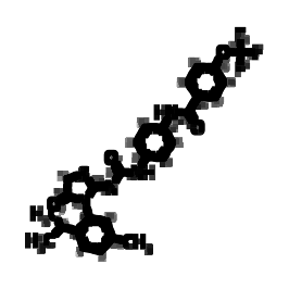 Cc1ccc(C(C)C)c(N2C(=O)CSC2=NC(=O)Nc2ccc(NC(=O)c3ccc(OC(F)(F)F)cc3)cc2)c1